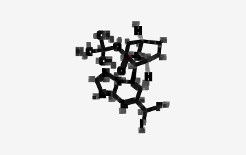 CC(C)(C)OC(=O)N1[C@H]2CC[C@H](c3cc(C(F)F)nc4ncnn34)[C@@H]1CC2